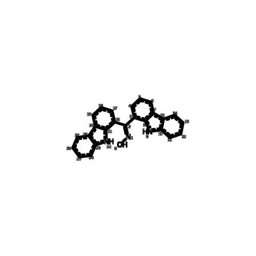 ON=C(c1cccc2c1[nH]c1ccccc12)c1cccc2c1[nH]c1ccccc12